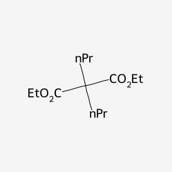 CCCC(CCC)(C(=O)OCC)C(=O)OCC